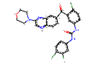 O=C(Nc1ccc(F)c(F)c1)Nc1ccc(F)c(C(=O)c2ccc3ncc(N4CCOCC4)nc3c2)c1